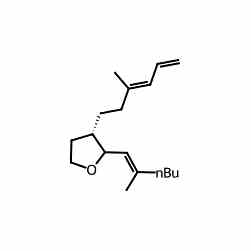 C=C/C=C(\C)CC[C@H]1CCOC1/C=C(\C)CCCC